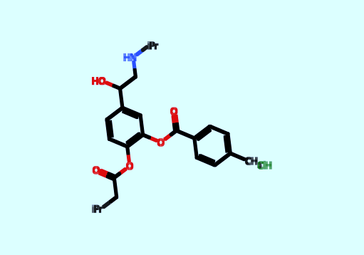 Cc1ccc(C(=O)Oc2cc(C(O)CNC(C)C)ccc2OC(=O)CC(C)C)cc1.Cl